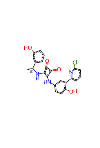 C[C@H](Nc1c(Nc2ccc(O)c(-c3cccc(Cl)n3)c2)c(=O)c1=O)c1cccc(O)c1